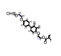 C=C(C)C(=O)O/C=C\Oc1ccc(-c2ccc(O/C=C\OC=O)cc2)c(F)c1F